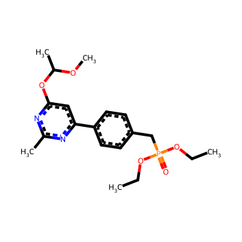 CCOP(=O)(Cc1ccc(-c2cc(OC(C)OC)nc(C)n2)cc1)OCC